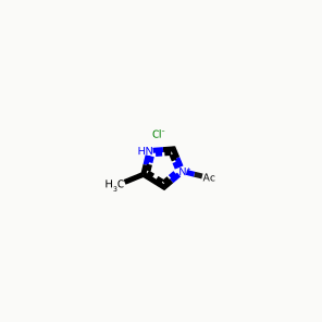 CC(=O)[n+]1c[nH]c(C)c1.[Cl-]